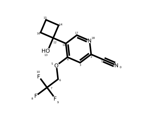 N#Cc1cc(OCC(F)(F)F)c(C2(O)CCC2)cn1